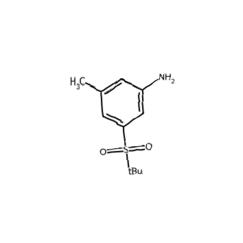 Cc1cc(N)cc(S(=O)(=O)C(C)(C)C)c1